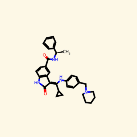 C[C@@H](NC(=O)c1ccc2c(c1)C(=C(Nc1ccc(CN3CCCCC3)cc1)C1CC1)C(=O)N2)c1ccccc1